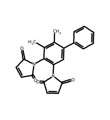 Cc1c(-c2ccccc2)cc(N2C(=O)C=CC2=O)c(N2C(=O)C=CC2=O)c1C